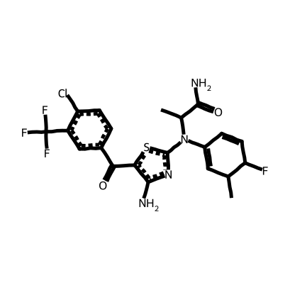 CC1C=C(N(c2nc(N)c(C(=O)c3ccc(Cl)c(C(F)(F)F)c3)s2)C(C)C(N)=O)C=CC1F